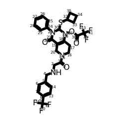 O=C(CNCc1ccc(C(F)(F)F)cc1)N1CCC2=C(C1)C(=O)N(c1ccccc1)C(SC1CCC1)N2OC(=O)C(F)(F)F